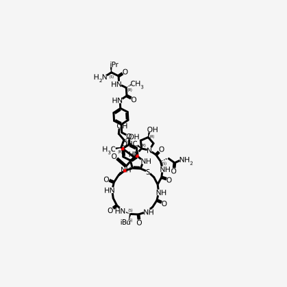 CC[C@H](C)[C@@H]1NC(=O)CNC(=O)C2Cc3c([nH]c4cc(OCc5ccc(NC(=O)[C@@H](C)NC(=O)[C@@H](N)C(C)C)cc5)ccc34)SCC(NC(=O)CNC1=O)C(=O)N[C@@H](CC(N)=O)C(=O)N1C[C@H](O)C[C@@]1(C=O)N[C@@H]([C@@H](C)[C@@H](O)CO)C(=O)N2